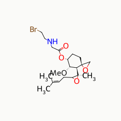 CO[C@@H]1[C@H](OC(=O)CNCCBr)CC[C@]2(CO2)[C@H]1[C@@]1(C)OC1CC=C(C)C